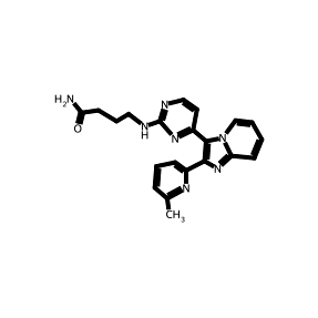 Cc1cccc(-c2nc3ccccn3c2-c2ccnc(NCCCC(N)=O)n2)n1